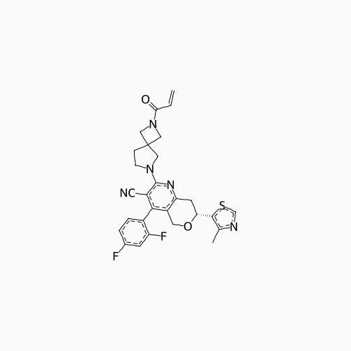 C=CC(=O)N1CC2(CCN(c3nc4c(c(-c5ccc(F)cc5F)c3C#N)CO[C@@H](c3scnc3C)C4)C2)C1